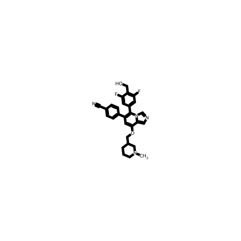 CN1CCCC(COc2cc(-c3ccc(C#N)cc3)c(-c3cc(F)c(CO)c(F)c3)n3cncc23)C1